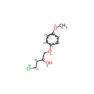 COc1ccc(OCC(O)CCCl)cc1